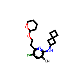 N#Cc1cc(F)c(CCOC2CCCCO2)nc1NC1CC2(CCC2)C1